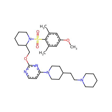 COc1cc(C)c(S(=O)(=O)N2CCCCC2COc2nccc(N3CCC(CCN4CCCCC4)CC3)n2)c(C)c1